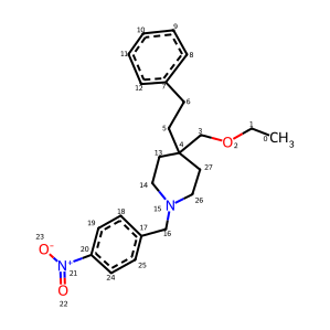 CCOCC1(CCc2ccccc2)CCN(Cc2ccc([N+](=O)[O-])cc2)CC1